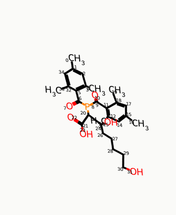 Cc1cc(C)c(C(=O)P(C(=O)c2c(C)cc(C)cc2C)C(C(=O)O)C(O)CCCCCO)c(C)c1